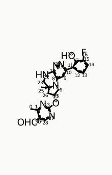 Cc1nc(O[C@H]2CN3c4cc(-c5cccc(F)c5O)nnc4NC[C@@]3(C)C2)ncc1C=O